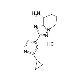 Cl.NC1CCCn2nc(-c3ccnc(C4CC4)c3)nc21